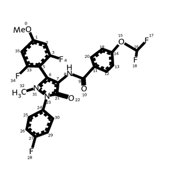 COc1cc(F)c(-c2c(NC(=O)c3ccc(OC(F)F)cc3)c(=O)n(-c3ccc(F)cc3)n2C)c(F)c1